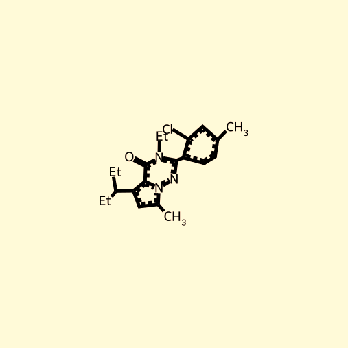 CCC(CC)c1cc(C)n2nc(-c3ccc(C)cc3Cl)n(CC)c(=O)c12